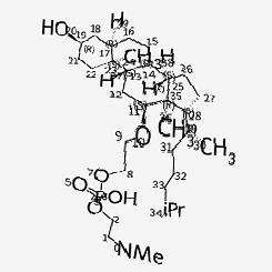 CNCCOP(=O)(O)OCCO[C@H]1C[C@H]2[C@@H](CC[C@@H]3C[C@H](O)CC[C@@]32C)[C@@H]2CC[C@H]([C@H](C)CCCC(C)C)[C@@]12C